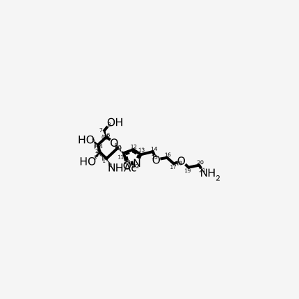 CC(=O)N[C@@H]1[C@@H](O)[C@@H](O)[C@@H](CO)O[C@@H]1c1cc(COCCOCCN)no1